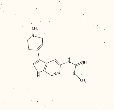 CSC(=N)Nc1ccc2[nH]cc(C3=CCN(C)CC3)c2c1